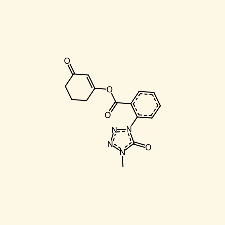 Cn1nnn(-c2ccccc2C(=O)OC2=CC(=O)CCC2)c1=O